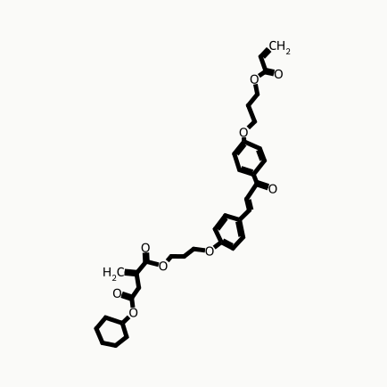 C=CC(=O)OCCCOc1ccc(C(=O)/C=C/c2ccc(OCCCOC(=O)C(=C)CC(=O)OC3CCCCC3)cc2)cc1